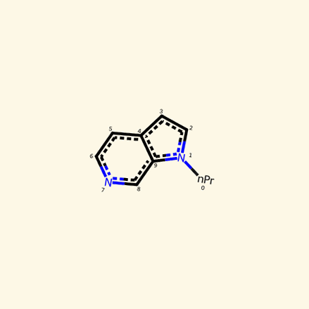 CCCn1ccc2ccncc21